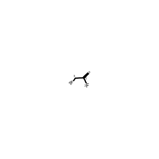 C=C(F)CF